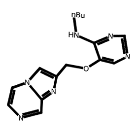 CCCCNc1ncncc1OCc1cn2ccncc2n1